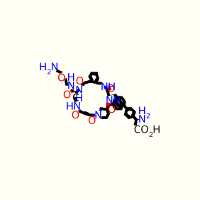 NCCOCCNC(=O)[C@@H]1CCNC(=O)/C=C/C(=O)N2CCC[C@](Cc3ccccc3)(C2)C(=O)N[C@@H](Cc2ccc(-c3ccc([C@H](N)CC(=O)O)cc3)cc2)C(=O)NCc2ccccc2CC(=O)N1